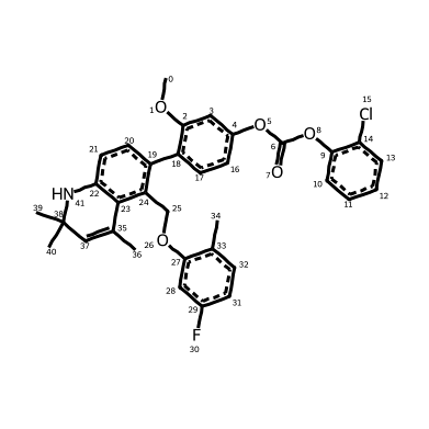 COc1cc(OC(=O)Oc2ccccc2Cl)ccc1-c1ccc2c(c1COc1cc(F)ccc1C)C(C)=CC(C)(C)N2